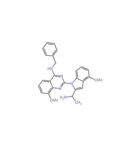 COc1cccc2c1cc(C(C)N)n2-c1nc(NCc2ccccc2)c2cccc(OC)c2n1